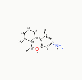 Cc1cc(N)cc(OC(C)C2CCCCC2C)c1